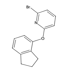 Brc1cccc(Oc2cccc3c2CCC3)n1